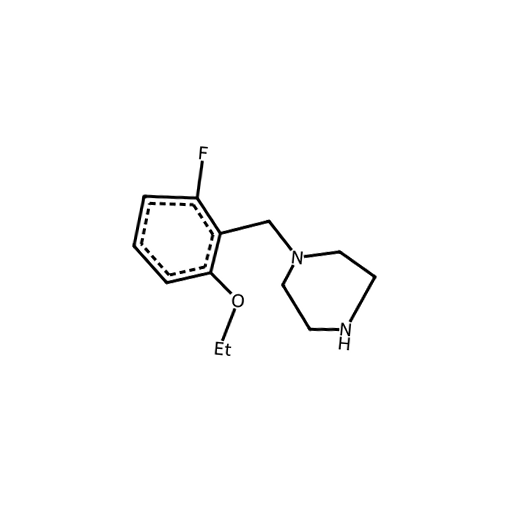 CCOc1cccc(F)c1CN1CCNCC1